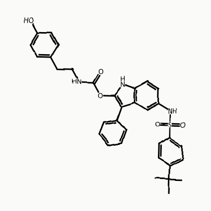 CC(C)(C)c1ccc(S(=O)(=O)Nc2ccc3[nH]c(OC(=O)NCCc4ccc(O)cc4)c(-c4ccccc4)c3c2)cc1